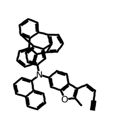 C#C/C=C\c1c(C)oc2cc(N(c3ccc4c(c3)-c3c5cccc3-c3cccc-4c3-c3ccccc3-5)c3cccc4ccccc34)ccc12